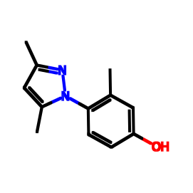 Cc1cc(C)n(-c2ccc(O)cc2C)n1